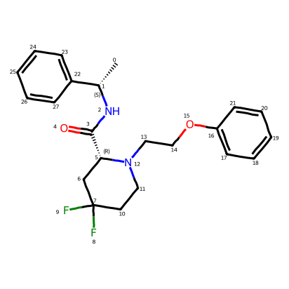 C[C@H](NC(=O)[C@H]1CC(F)(F)CCN1CCOc1ccccc1)c1ccccc1